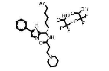 CC(=O)CCCCC[C@H](NC(=O)CCN1CCCCC1)c1ncc(-c2ccccc2)[nH]1.O=C(O)C(F)(F)F.O=C(O)C(F)(F)F